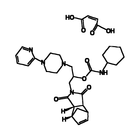 O=C(NC1CCCCC1)OC(CN1CCN(c2ccccn2)CC1)CN1C(=O)C2C3C=C[C@@H](C3)[C@@H]2C1=O.O=C(O)/C=C\C(=O)O